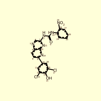 O=C(Nc1cnc2ccc(-c3cc(Cl)c(O)c(Cl)c3)nc2n1)Nc1ccccc1[N+](=O)[O-]